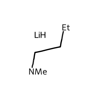 [CH2]CCCNC.[LiH]